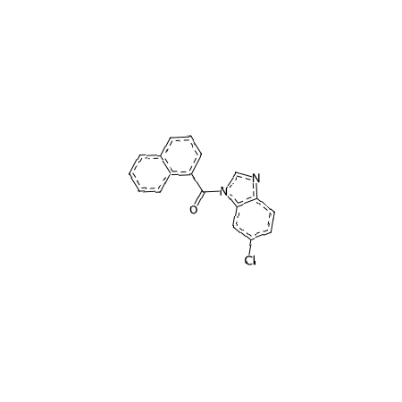 O=C(c1cccc2ccccc12)n1cnc2ccc(Cl)cc21